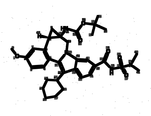 COc1ccc2c(c1)[C@@H]1C[C@]1(NC(=O)OC(C)(C)C)Cn1c-2c(C2CCCCC2)c2ccc(C(=O)NS(=O)(=O)N(C)C)cc21